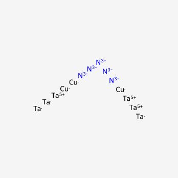 [Cu].[Cu].[Cu].[N-3].[N-3].[N-3].[N-3].[N-3].[Ta+5].[Ta+5].[Ta+5].[Ta].[Ta].[Ta]